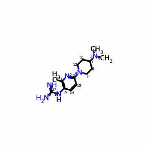 Cc1nc(N2CCC(N(C)C)CC2)ccc1NC(=N)N